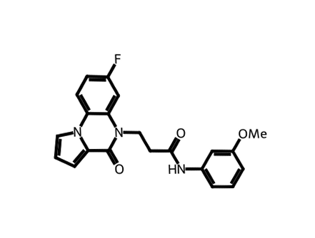 COc1cccc(NC(=O)CCn2c(=O)c3cccn3c3ccc(F)cc32)c1